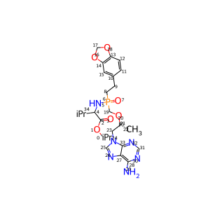 CC(C)OC(=O)C(NP(=O)(CCc1ccc2c(c1)OCO2)CO[C@H](C)Cn1cnc2c(N)ncnc21)C(C)C